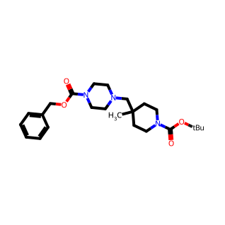 CC1(CN2CCN(C(=O)OCc3ccccc3)CC2)CCN(C(=O)OC(C)(C)C)CC1